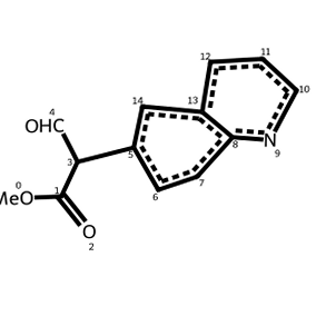 COC(=O)C(C=O)c1ccc2ncccc2c1